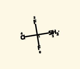 FC(F)([SiH2])Cl